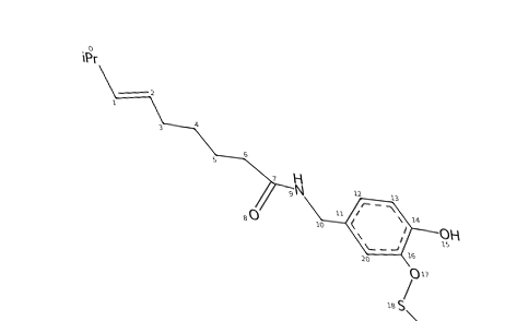 CC(C)/C=C/CCCCC(=O)NCc1ccc(O)c(OSI)c1